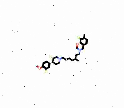 COc1ccc([C@H]2CCN(CCCCC(C)CCN(C=O)Cc3ccc(C)c(F)c3)C[C@@H]2F)cc1F